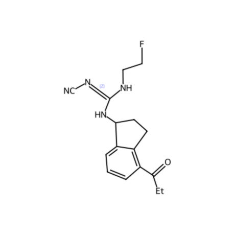 CCC(=O)c1cccc2c1CCC2N/C(=N\C#N)NCCF